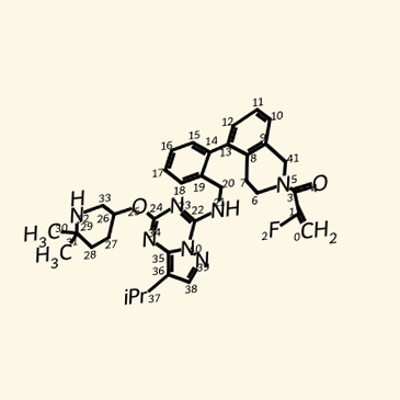 C=C(F)C(=O)N1CCc2c(cccc2-c2ccccc2CNc2nc(OC3CCC(C)(C)NC3)nc3c(C(C)C)cnn23)C1